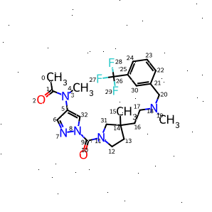 CC(=O)N(C)c1cnn(C(=O)N2CCC(C)(CCN(C)Cc3cccc(C(F)(F)F)c3)C2)c1